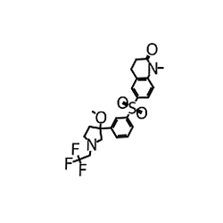 COC1(c2cccc(S(=O)(=O)c3ccc4c(c3)CCC(=O)N4C)c2)CCN(CC(F)(F)F)C1